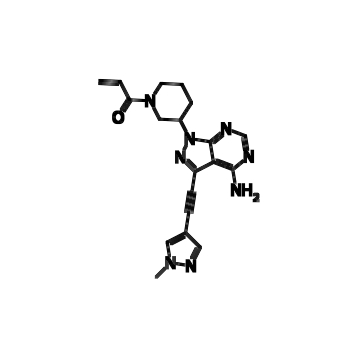 C=CC(=O)N1CCCC(n2nc(C#Cc3cnn(C)c3)c3c(N)ncnc32)C1